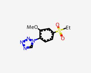 CCS(=O)(=O)c1ccc(-n2cnnn2)c(OC)c1